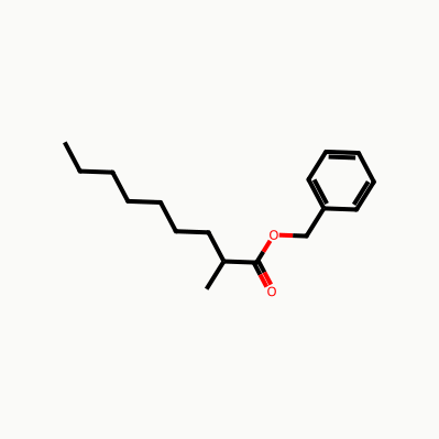 CCCCCCCC(C)C(=O)OCc1ccccc1